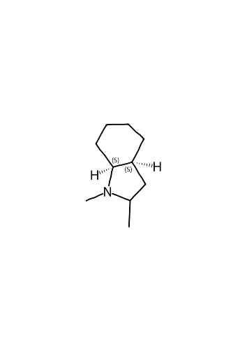 CC1C[C@@H]2CCCC[C@@H]2N1C